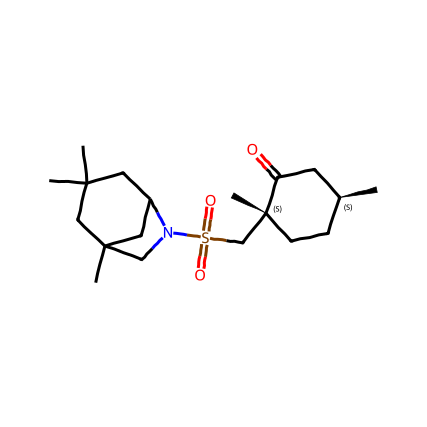 C[C@H]1CC[C@](C)(CS(=O)(=O)N2CC3(C)CC2CC(C)(C)C3)C(=O)C1